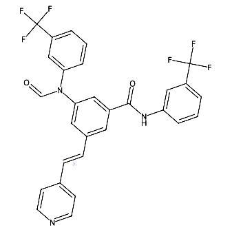 O=CN(c1cc(/C=C/c2ccncc2)cc(C(=O)Nc2cccc(C(F)(F)F)c2)c1)c1cccc(C(F)(F)F)c1